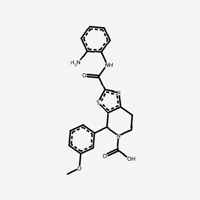 COc1cccc(C2c3sc(C(=O)Nc4ccccc4N)nc3CCN2C(=O)O)c1